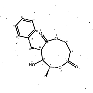 C[C@@H]1OC(=O)CCOC(=O)[C@H](Cc2ccccc2)C1O